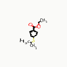 CCOC(=O)c1ccc(SC(C)C)cc1